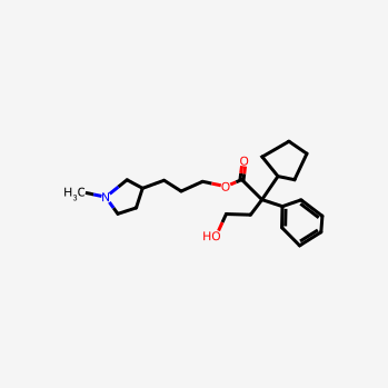 CN1CCC(CCCOC(=O)C(CCO)(c2ccccc2)C2CCCC2)C1